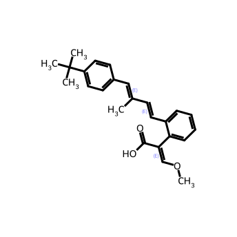 CO/C=C(/C(=O)O)c1ccccc1/C=C/C(C)=C/c1ccc(C(C)(C)C)cc1